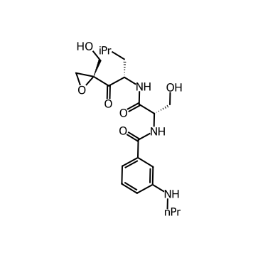 CCCNc1cccc(C(=O)N[C@@H](CO)C(=O)N[C@@H](CC(C)C)C(=O)[C@@]2(CO)CO2)c1